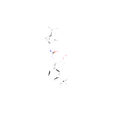 O=C(NC(CO)c1cccc(C(F)(F)F)c1)NC12CC(C(F)F)(C1)C2